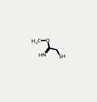 COC(=N)CS